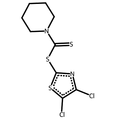 S=C(Sc1nc(Cl)c(Cl)s1)N1CCCCC1